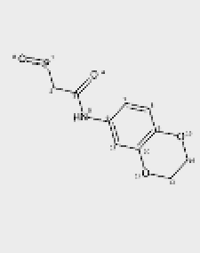 O=PCC(=O)Nc1ccc2c(c1)OCCO2